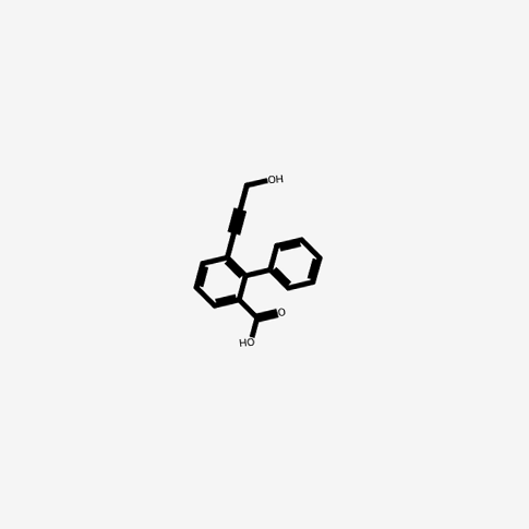 O=C(O)c1cccc(C#CCO)c1-c1ccccc1